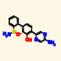 Nc1cnc(-c2ccc(-c3ccccc3[S+](N)[O-])cc2O)cn1